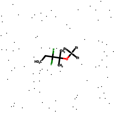 CC[Si](CC)(CC)OC(C)(C)C(F)(F)CC(=O)O